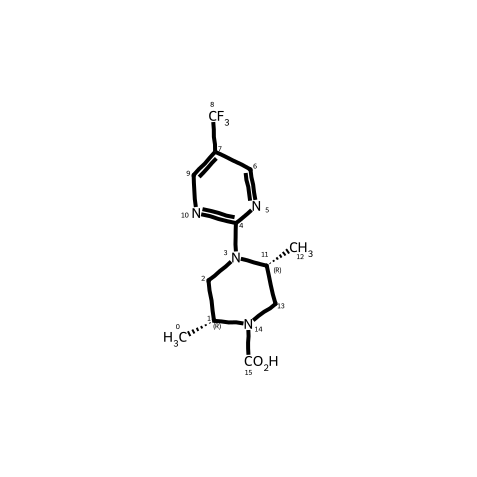 C[C@@H]1CN(c2ncc(C(F)(F)F)cn2)[C@H](C)CN1C(=O)O